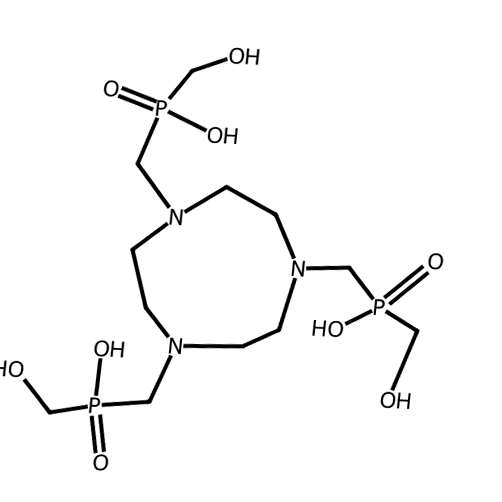 O=P(O)(CO)CN1CCN(CP(=O)(O)CO)CCN(CP(=O)(O)CO)CC1